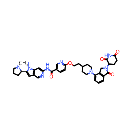 CN1CCC[C@@H]1c1cc2cnc(NC(=O)c3ccc(OCCC4CCN(c5cccc6c5CN(C5CCC(=O)NC5=O)C6=O)CC4)nc3)cc2[nH]1